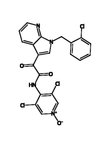 O=C(Nc1c(Cl)c[n+]([O-])cc1Cl)C(=O)c1cn(Cc2ccccc2Cl)c2ncccc12